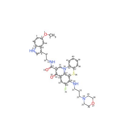 COc1ccc2[nH]cc(CCNC(=O)c3cn4c5c(c(NCCCN6CCOCC6)c(F)cc5c3=O)Sc3ccccc3-4)c2c1